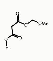 CCOC(=O)CC(=O)OCOC